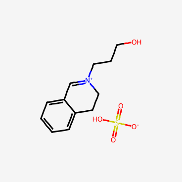 O=S(=O)([O-])O.OCCC[N+]1=Cc2ccccc2CC1